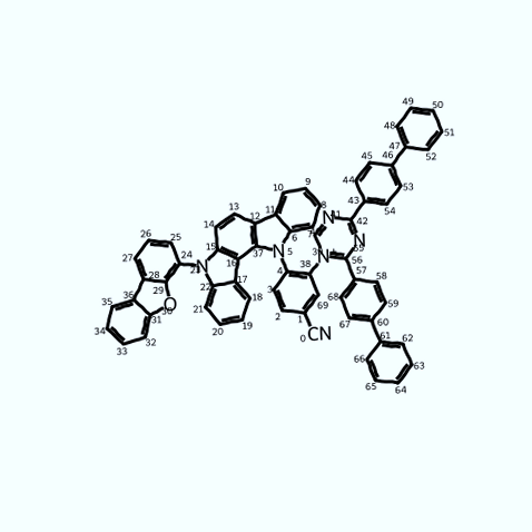 N#Cc1ccc(-n2c3ccccc3c3ccc4c(c5ccccc5n4-c4cccc5c4oc4ccccc45)c32)c(-[n+]2cnc(-c3ccc(-c4ccccc4)cc3)nc2-c2ccc(-c3ccccc3)cc2)c1